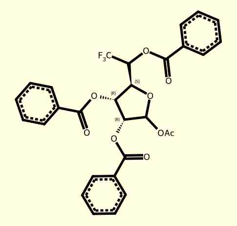 CC(=O)OC1O[C@H](C(OC(=O)c2ccccc2)C(F)(F)F)[C@@H](OC(=O)c2ccccc2)[C@H]1OC(=O)c1ccccc1